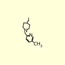 Cc1ccc(CN2CCC(I)CC2)nc1